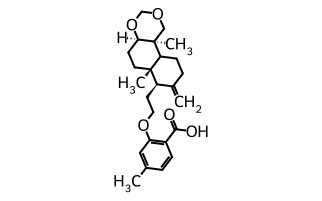 C=C1CCC2[C@]3(C)COCO[C@@H]3CC[C@@]2(C)[C@@H]1CCOc1cc(C)ccc1C(=O)O